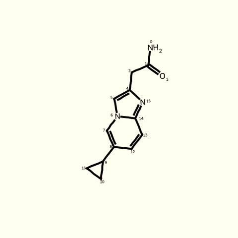 NC(=O)Cc1cn2cc(C3CC3)ccc2n1